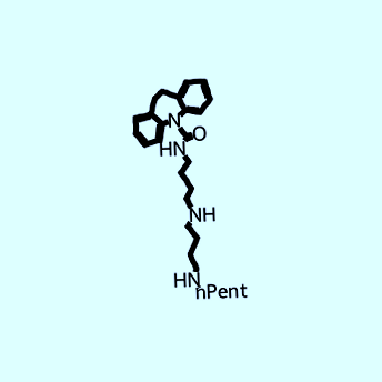 CCCCCNCCCCNCCCCNC(=O)N1c2ccccc2CCc2ccccc21